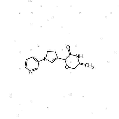 C=C1COC(C2=CN(c3cccnc3)CC2)C(=O)N1